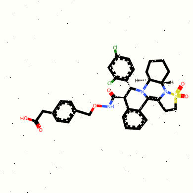 O=C(O)Cc1ccc(CONC(=O)[C@@H]2c3ccccc3C3=C4CCS(=O)(=O)N4[C@H]4CCCC[C@@H]4N3[C@H]2c2ccc(Cl)cc2Cl)cc1